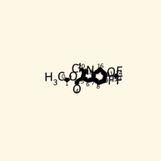 CCOC(=O)c1cc2ccc(OC(F)(F)F)cc2nc1Cl